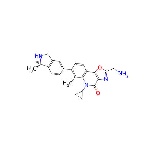 Cc1c(-c2ccc3c(c2)CN[C@@H]3C)ccc2c3oc(CN)nc3c(=O)n(C3CC3)c12